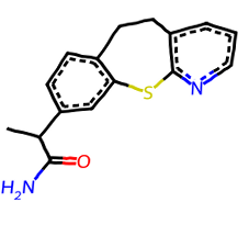 CC(C(N)=O)c1ccc2c(c1)Sc1ncccc1CC2